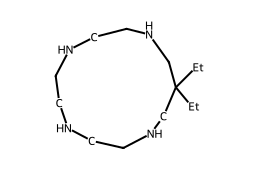 CCC1(CC)CNCCNCCNCCNC1